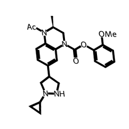 COc1ccccc1OC(=O)N1C[C@H](C)N(C(C)=O)c2ccc(C3CNN(C4CC4)C3)cc21